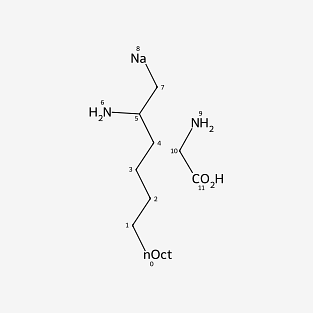 CCCCCCCCCCCCC(N)[CH2][Na].NCC(=O)O